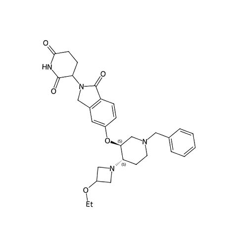 CCOC1CN([C@H]2CCN(Cc3ccccc3)C[C@@H]2Oc2ccc3c(c2)CN(C2CCC(=O)NC2=O)C3=O)C1